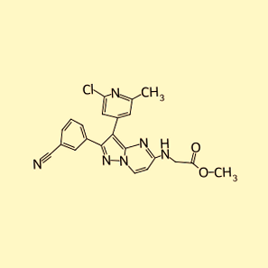 COC(=O)CNc1ccn2nc(-c3cccc(C#N)c3)c(-c3cc(C)nc(Cl)c3)c2n1